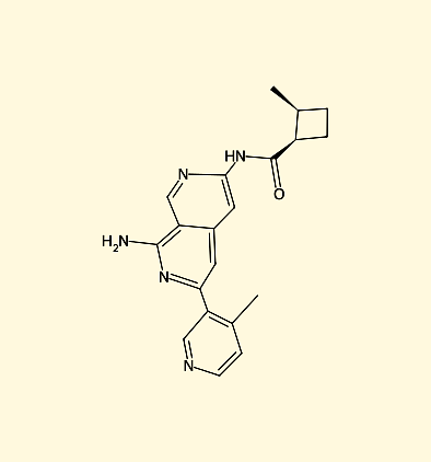 Cc1ccncc1-c1cc2cc(NC(=O)[C@@H]3CC[C@@H]3C)ncc2c(N)n1